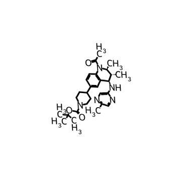 CC(=O)N1c2ccc(C3CCN(C(=O)OC(C)(C)C)CC3)cc2[C@H](Nc2cnc(C)cn2)[C@@H](C)[C@@H]1C